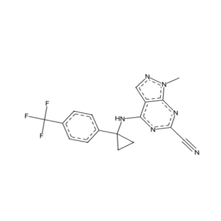 Cn1ncc2c(NC3(c4ccc(C(F)(F)F)cc4)CC3)nc(C#N)nc21